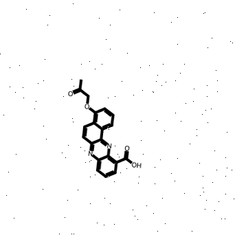 CC(=O)COc1cccc2c1ccc1nc3cccc(C(=O)O)c3nc12